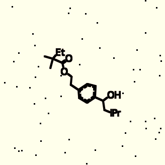 CCC(C)(C)C(=O)OCCc1ccc(C(O)CC(C)C)cc1